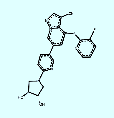 N#Cc1cnn2cc(-c3ccc(N4C[C@H](O)[C@@H](O)C4)nc3)cc(Sc3ncccc3F)c12